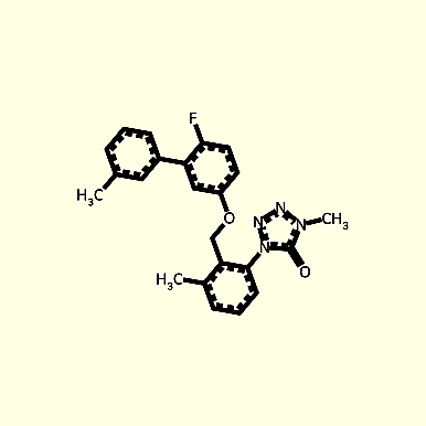 Cc1cccc(-c2cc(OCc3c(C)cccc3-n3nnn(C)c3=O)ccc2F)c1